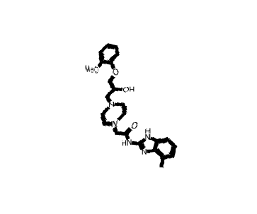 COc1ccccc1OCC(O)CN1CCN(CC(=O)Nc2nc3c(C)cccc3[nH]2)CC1